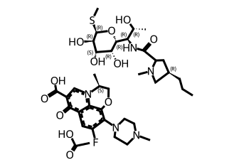 CC(=O)O.CCC[C@@H]1CC(C(=O)N[C@@H]([C@H]2O[C@H](SC)[C@H](O)[C@@H](O)[C@H]2O)[C@@H](C)O)N(C)C1.C[C@H]1COc2c(N3CCN(C)CC3)c(F)cc3c(=O)c(C(=O)O)cn1c23